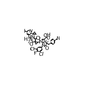 C[C@@]1(Cc2ccc(C#N)cc2)C(=O)N(c2cc(Cl)c(F)c(Cl)c2)C2N(C3CC3(C(N)=O)C(=O)NC3(c4ccc(I)cn4)CC3)C=C(C(=O)O)N21